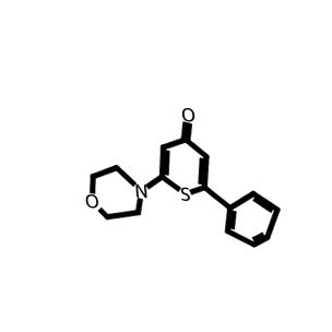 O=c1cc(-c2ccccc2)sc(N2CCOCC2)c1